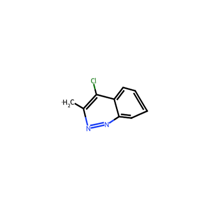 [CH2]c1nnc2ccccc2c1Cl